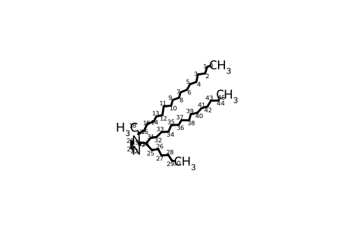 CCCCCCCCCCCCCCCCCC(C)n1ccnc1C(CCCCCC)CCCCCCCCCCCCCCC